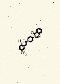 CC(Cc1cccc(C(F)(F)F)c1)N1CCC(n2cnc3ccccc3c2=O)CC1